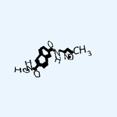 Cc1cc(CNC(=O)c2ccc3cc(C(=O)NO)ccc3c2)no1